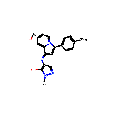 CC(=O)[O-].CCn1ncc(/N=C2\C=C(c3ccc(OC)cc3)[n+]3ccccc32)c1O